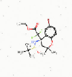 CCOC(=O)C(F)(F)[C@@]1(N[S@+]([O-])C(C)(C)C)CC(C)(C)Oc2ccc(Br)cc21